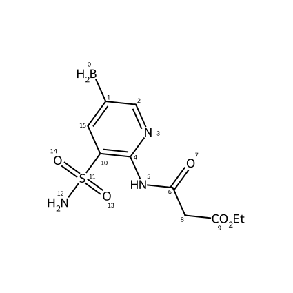 Bc1cnc(NC(=O)CC(=O)OCC)c(S(N)(=O)=O)c1